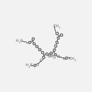 C=Cc1ccc(OCCCCOCc2ccc(N(c3ccc(-c4ccc(-c5ccc(-c6ccc(N(c7ccccc7)c7ccc(CCCCCC)cc7)cc6)cc5)cc4)cc3)c3ccc(-c4ccc(N(c5ccc(COCCCCOc6ccc(C=C)cc6)cc5)c5ccc(-c6ccc(-c7ccc(-c8ccc(N(c9ccccc9)c9ccc(CCCCCC)cc9)cc8)cc7)cc6)cc5)cc4C)c(C)c3)cc2)cc1